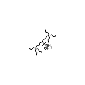 C=CC[Si](CC=C)(CC=C)CCCC(CCC[Si](CC=C)(CC=C)CC=C)C(C)(C)[SiH2]O